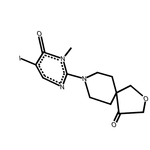 Cn1c(N2CCC3(CC2)COCC3=O)ncc(I)c1=O